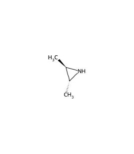 C[C@H]1N[C@@H]1C